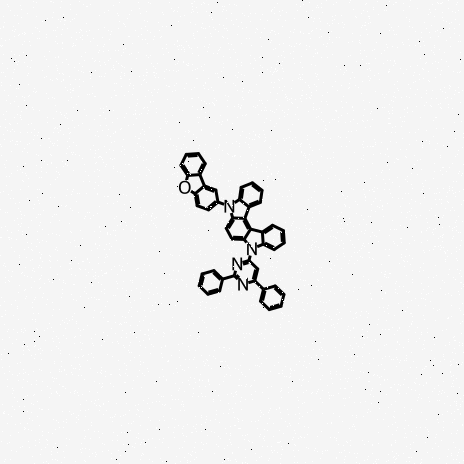 c1ccc(-c2cc(-n3c4ccccc4c4c5c6ccccc6n(-c6ccc7oc8ccccc8c7c6)c5ccc43)nc(-c3ccccc3)n2)cc1